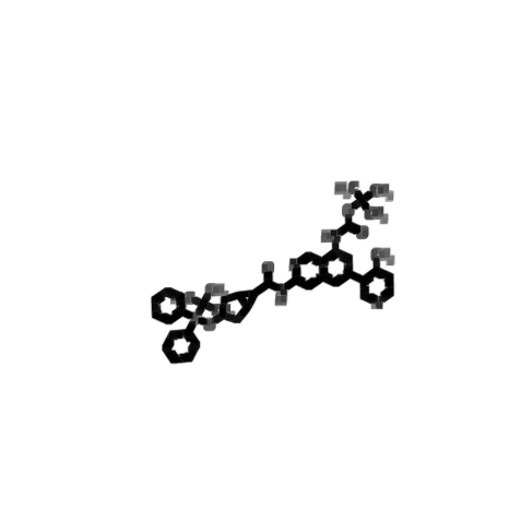 Cc1ccncc1-c1cc(NC(=O)OC(C)(C)C)c2cnc(NC(=O)C3C4CC(O[Si](c5ccccc5)(c5ccccc5)C(C)(C)C)CC43)cc2c1